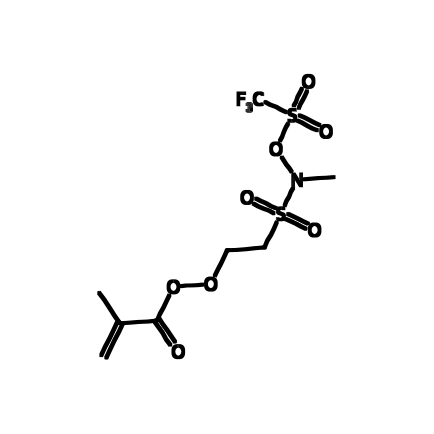 C=C(C)C(=O)OOCCS(=O)(=O)N(C)OS(=O)(=O)C(F)(F)F